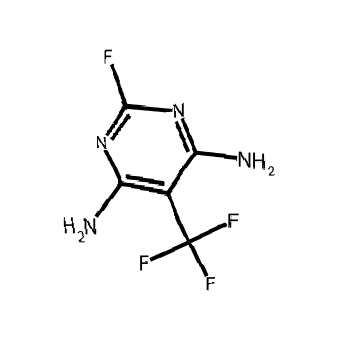 Nc1nc(F)nc(N)c1C(F)(F)F